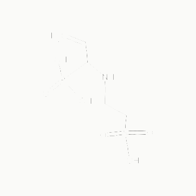 C=CC(NCCS(=O)(=O)O)P(=O)(O)O